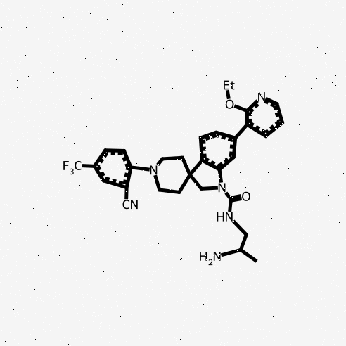 CCOc1ncccc1-c1ccc2c(c1)N(C(=O)NCC(C)N)CC21CCN(c2ccc(C(F)(F)F)cc2C#N)CC1